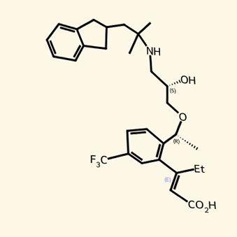 CC/C(=C\C(=O)O)c1cc(C(F)(F)F)ccc1[C@@H](C)OC[C@@H](O)CNC(C)(C)CC1Cc2ccccc2C1